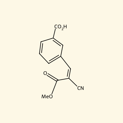 COC(=O)C(C#N)=Cc1cccc(C(=O)O)c1